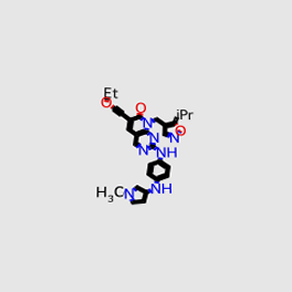 CCOC#Cc1cc2cnc(Nc3ccc(NC4CCN(C)C4)cc3)nc2n(Cc2cnoc2C(C)C)c1=O